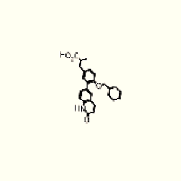 CC(Cc1ccc(OCC2CCCCC2)c(-c2ccc3[nH]c(=O)ccc3c2)c1)C(=O)O